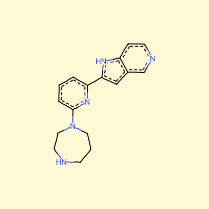 c1cc(-c2cc3cnccc3[nH]2)nc(N2CCCNCC2)c1